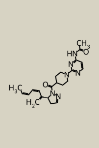 C=C(/C=C\C=C/C)[C@@H]1CC=NN1C(=O)C1CCN(c2nccc(NC(C)=O)n2)CC1